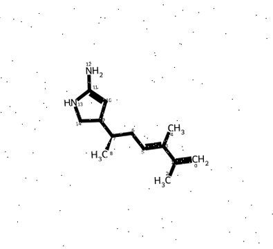 C=C(C)/C(C)=C/C[C@@H](C)C1C=C(N)NC1